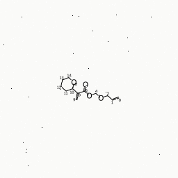 C=CCOCOC(=O)C(=C)C1CCCCO1